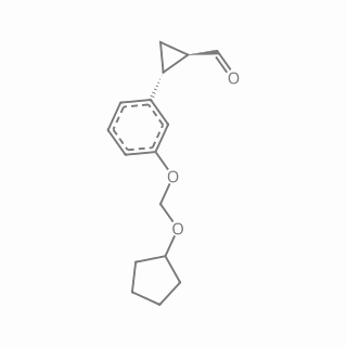 O=C[C@@H]1C[C@H]1c1cccc(OCOC2CCCC2)c1